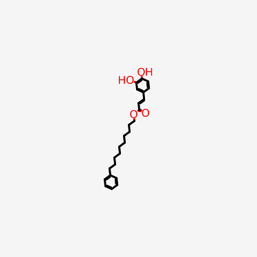 O=C(C=Cc1ccc(O)c(O)c1)OCCCCCCCCCCc1ccccc1